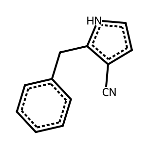 N#Cc1cc[nH]c1Cc1ccccc1